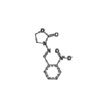 O=C1OCCN1/N=C/c1ccccc1[N+](=O)[O-]